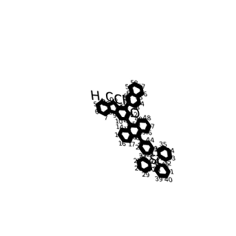 CC1(C)c2ccccc2-c2cc(-c3c4ccccc4c(-c4ccc([Si](c5ccccc5)(c5ccccc5)c5ccccc5)cc4)c4ccccc34)c3oc4cc5ccccc5cc4c3c21